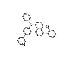 c1ccc(N(c2ccc(-c3cccnc3)cc2)c2ccc3c4c(cccc24)-c2ccccc2O3)cc1